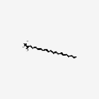 CCCCCC=CCC=CCC=CCC=CCCCC(=O)C(F)(F)F